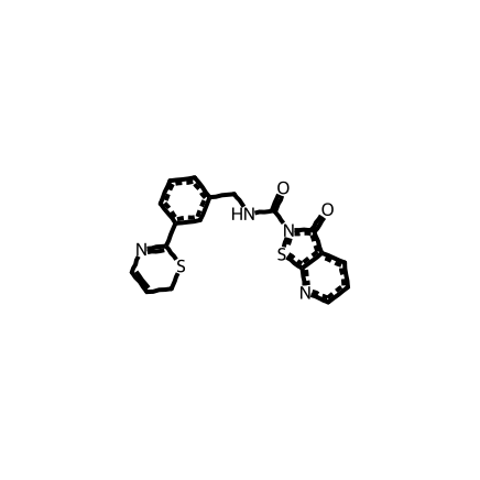 O=C(NCc1cccc(C2=NC=CCS2)c1)n1sc2ncccc2c1=O